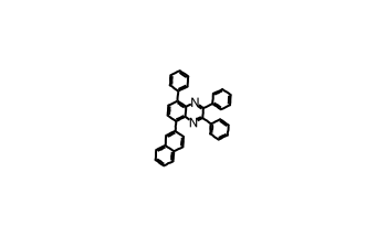 c1ccc(-c2nc3c(-c4ccccc4)ccc(-c4ccc5ccccc5c4)c3nc2-c2ccccc2)cc1